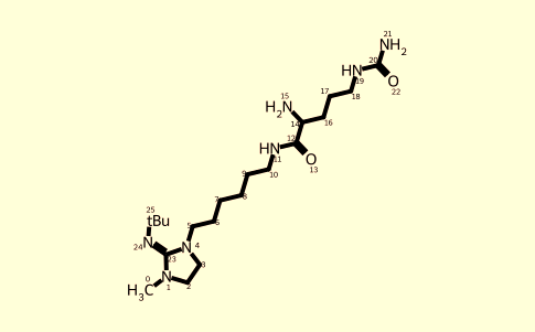 CN1CCN(CCCCCCNC(=O)C(N)CCCNC(N)=O)C1=NC(C)(C)C